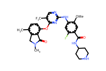 COc1cc(C(=O)NC2CCNCC2)c(F)cc1Nc1ncc(C(F)(F)F)c(Oc2ccc(C)c3c2C(=O)N(C)C3)n1